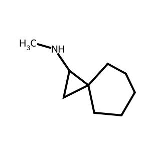 CNC1CC12CCCCC2